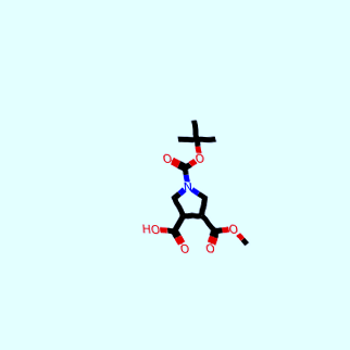 COC(=O)C1CN(C(=O)OC(C)(C)C)CC1C(=O)O